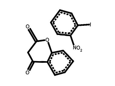 O=C1CC(=O)c2ccccc2O1.O=[N+]([O-])c1ccccc1I